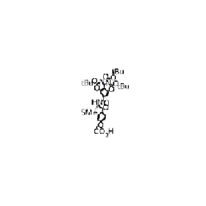 CSC[C@H](NC(=O)c1ccc(/C(=N\C(=O)OC(C)(C)C)N(C(=O)OC(C)(C)C)C(=O)OC(C)(C)C)cc1)C(=O)c1ccc(OCC(=O)O)cc1